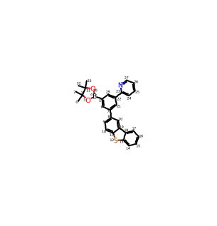 CC1(C)OB(c2cc(-c3ccc4sc5ccccc5c4c3)cc(-c3ccccn3)c2)OC1(C)C